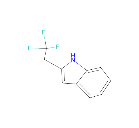 FC(F)(F)Cc1cc2ccccc2[nH]1